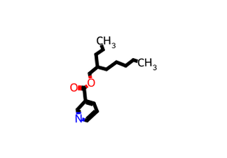 CCCCCC(CCC)COC(=O)c1cccnc1